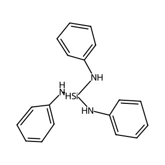 c1ccc(N[SiH](Nc2ccccc2)Nc2ccccc2)cc1